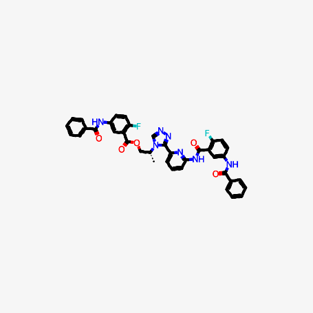 C[C@H](COC(=O)c1cc(NC(=O)c2ccccc2)ccc1F)n1cnnc1-c1cccc(NC(=O)c2cc(NC(=O)c3ccccc3)ccc2F)n1